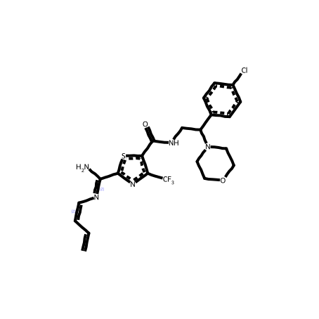 C=C/C=C\N=C(/N)c1nc(C(F)(F)F)c(C(=O)NCC(c2ccc(Cl)cc2)N2CCOCC2)s1